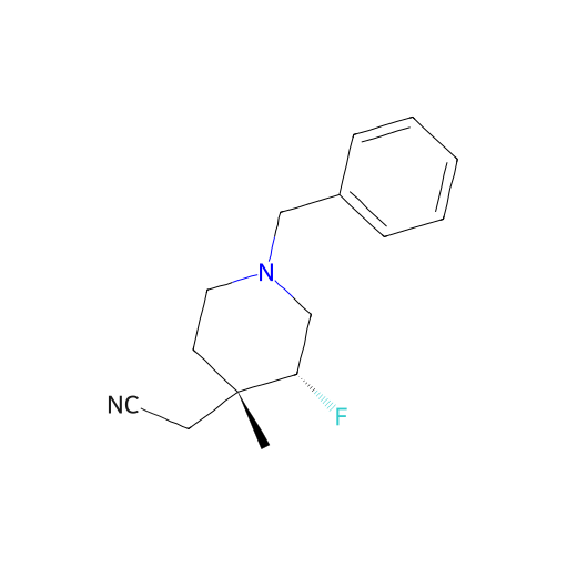 C[C@@]1(CC#N)CCN(Cc2ccccc2)C[C@@H]1F